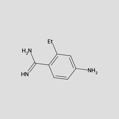 CCc1cc(N)ccc1C(=N)N